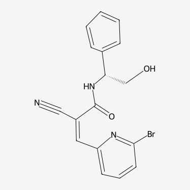 N#CC(=Cc1cccc(Br)n1)C(=O)N[C@@H](CO)c1ccccc1